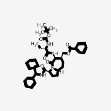 CC[C@H](NC(=O)OC(C)(C)C)C(=O)N[C@@H]1C(=O)N2[C@@H](CC[C@@H]1COC(=O)c1ccccc1)CC[C@H]2C(=O)NC(c1ccccc1)c1ccccc1